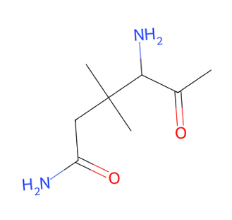 CC(=O)C(N)C(C)(C)CC(N)=O